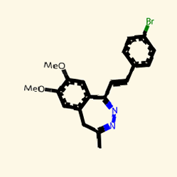 COc1cc2c(cc1OC)C(/C=C/c1ccc(Br)cc1)=NN=C(C)C2